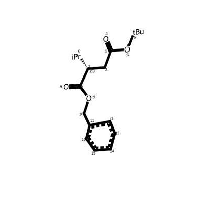 CC(C)[C@H](CC(=O)OC(C)(C)C)C(=O)OCc1ccccc1